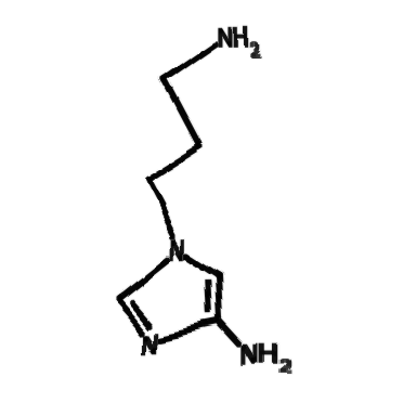 NCCCn1cnc(N)c1